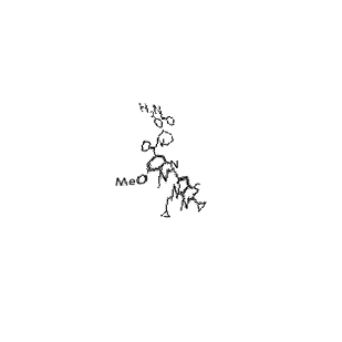 COc1cc(C(=O)N2CCC[C@@H](OC(N)=O)C2)cc2nc(-c3cc4sc(C5CC5)nc4n3CC3CC3)n(C)c12